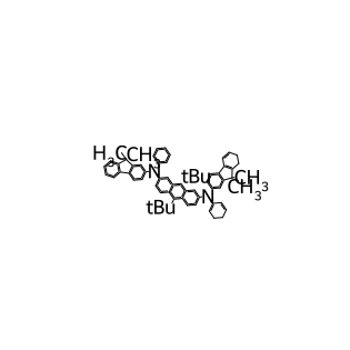 CC(C)(C)c1c2ccc(N(C3=CCCC=C3)c3ccc4c(c3)C(C)(C)C3=C4C=CCC3)cc2c(C(C)(C)C)c2cc(N(c3ccccc3)c3ccc4c(c3)C(C)(C)c3ccccc3-4)ccc12